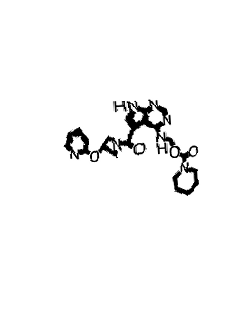 O=C(OCNc1ncnc2[nH]cc(C(=O)N3CC(Oc4ccccn4)C3)c12)N1CCCCC1